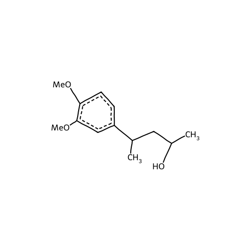 COc1ccc(C(C)CC(C)O)cc1OC